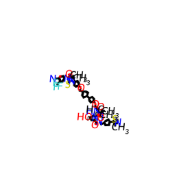 Cc1ncsc1-c1ccc(CNC(=O)C2C[C@@H](O)CN2C(=O)[C@@H](NC(=O)COC2=CCC(C3C=CC(COc4ccc(N5C(=S)N(c6ccc(C#N)c(C(F)(F)F)c6)C(=O)C5(C)C)cc4)=CC3)C=C2)C(C)(C)C)cc1